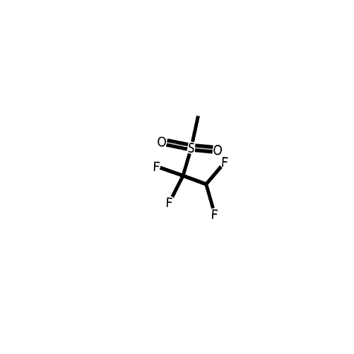 CS(=O)(=O)C(F)(F)C(F)F